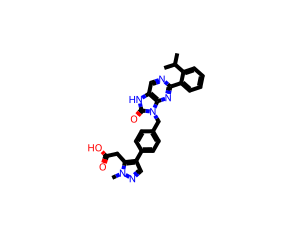 CC(C)c1ccccc1-c1ncc2[nH]c(=O)n(Cc3ccc(-c4cnn(C)c4CC(=O)O)cc3)c2n1